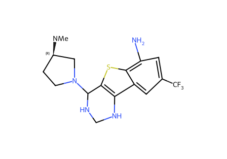 CN[C@@H]1CCN(C2NCNc3c2sc2c(N)cc(C(F)(F)F)cc32)C1